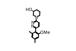 COc1cc(C)cc(C)c1-c1ccc(N2CCC[C@H](O)C2)nn1